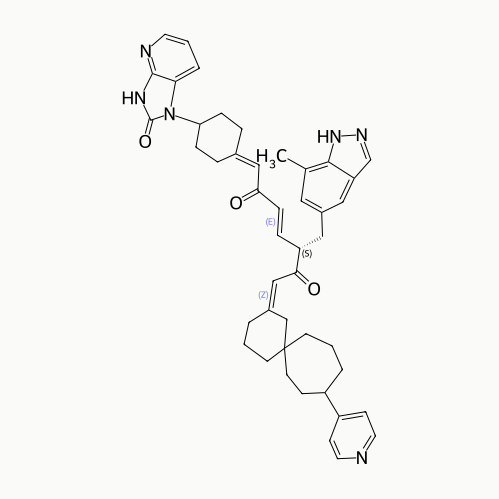 Cc1cc(C[C@@H](/C=C/C(=O)C=C2CCC(n3c(=O)[nH]c4ncccc43)CC2)C(=O)/C=C2/CCCC3(CCCC(c4ccncc4)CC3)C2)cc2cn[nH]c12